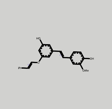 COc1cc(/C=C/c2cc(O)cc(O/C=C/C(C)C)c2)ccc1O